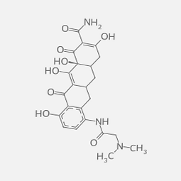 CN(C)CC(=O)Nc1ccc(O)c2c1CC1CC3CC(O)=C(C(N)=O)C(=O)[C@@]3(O)C(O)=C1C2=O